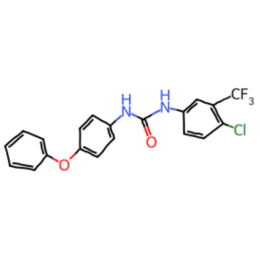 O=C(Nc1ccc(Oc2ccccc2)cc1)Nc1ccc(Cl)c(C(F)(F)F)c1